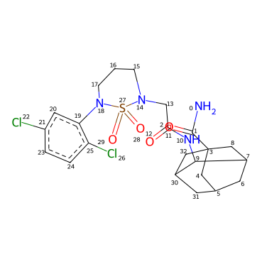 NC(=O)C12CC3CC(C1)C(NC(=O)CN1CCCN(c4cc(Cl)ccc4Cl)S1(=O)=O)C(C3)C2